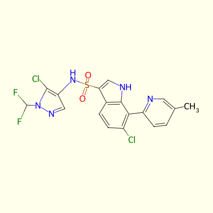 Cc1ccc(-c2c(Cl)ccc3c(S(=O)(=O)Nc4cnn(C(F)F)c4Cl)c[nH]c23)nc1